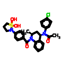 CC(=O)N(c1ccc(Cl)cc1)[C@@H]1C[C@H](C)N(C(=O)c2ccc(N3CCCS3(O)O)cc2)c2ccccc21